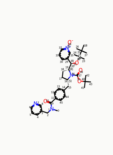 CN(Cc1cccnc1)C(=O)c1ccc(C[C@@H]2CC[C@H]([C@H](O[Si](C)(C)C(C)(C)C)c3ccc[n+]([O-])c3)N2C(=O)OC(C)(C)C)cc1